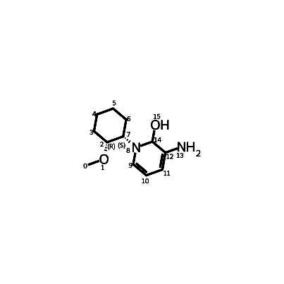 CO[C@@H]1CCCC[C@@H]1N1C=CC=C(N)C1O